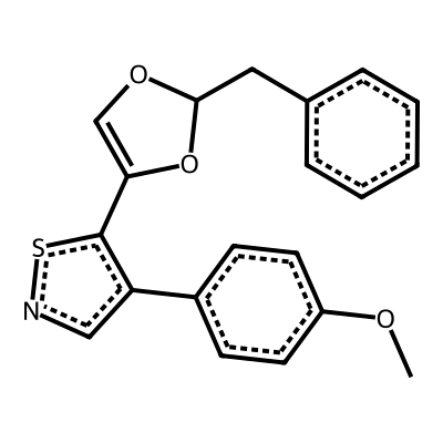 COc1ccc(-c2cnsc2C2=COC(Cc3ccccc3)O2)cc1